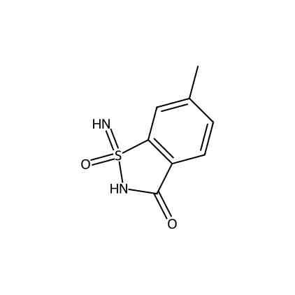 Cc1ccc2c(c1)S(=N)(=O)NC2=O